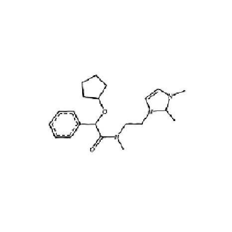 CC1N(C)C=CN1CCN(C)C(=O)C(OC1CCCC1)c1ccccc1